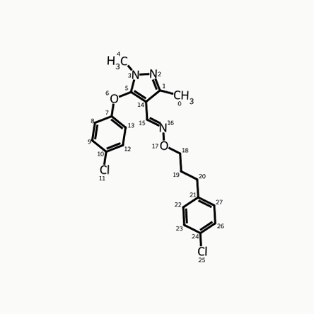 Cc1nn(C)c(Oc2ccc(Cl)cc2)c1C=NOCCCc1ccc(Cl)cc1